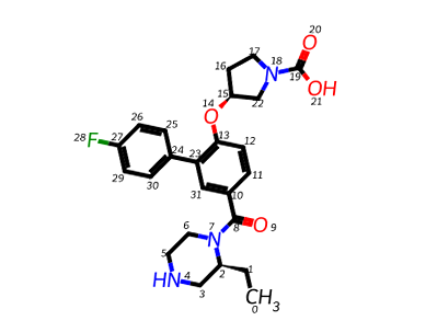 CC[C@H]1CNCCN1C(=O)c1ccc(O[C@H]2CCN(C(=O)O)C2)c(-c2ccc(F)cc2)c1